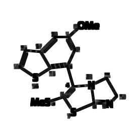 COc1cc(C2=C(SC)SC3=NCCN32)c2sccc2c1